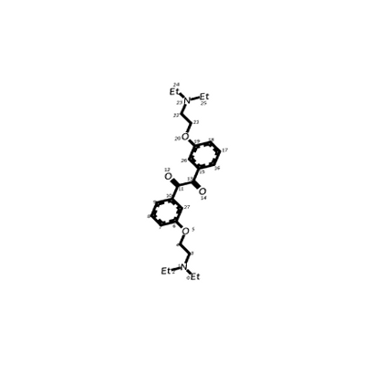 CCN(CC)CCOc1cccc(C(=O)C(=O)c2cccc(OCCN(CC)CC)c2)c1